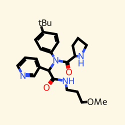 COCCCNC(=O)C(c1cccnc1)N(C(=O)C1CCCN1)c1ccc(C(C)(C)C)cc1